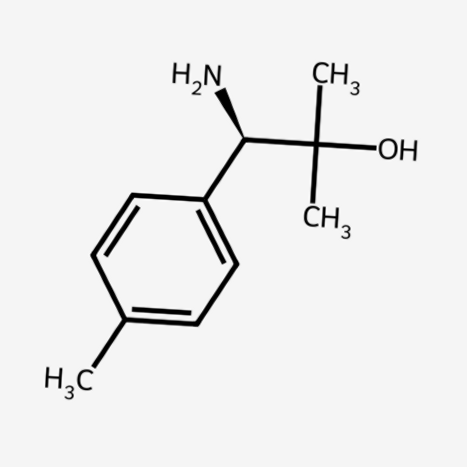 Cc1ccc([C@@H](N)C(C)(C)O)cc1